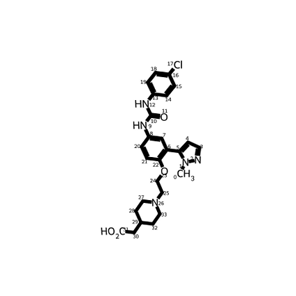 Cn1nccc1-c1cc(NC(=O)Nc2ccc(Cl)cc2)ccc1OCCN1CCC(CC(=O)O)CC1